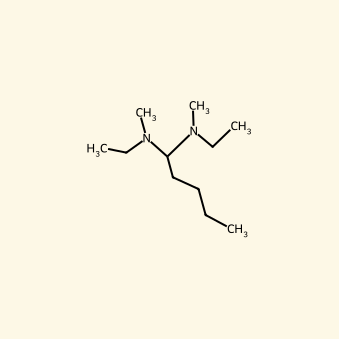 CCCCC(N(C)CC)N(C)CC